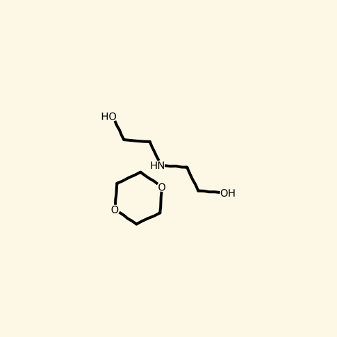 C1COCCO1.OCCNCCO